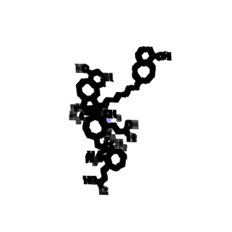 CCCCCCCC(CCCCCCCC1CCCC2=C(CCCC2O)CC1)C1CC2=C(CCCC1CC(C)(C)C1(C)CCCC(CC(C)(C)C3(C)CCCCC(CCC(O)CC)=C3C)C/C(CCC(O)CC)=C\1C)C(O)CNC2